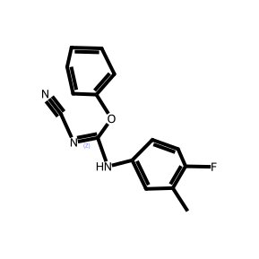 Cc1cc(N/C(=N/C#N)Oc2ccccc2)ccc1F